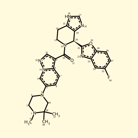 CN1CCN(c2ccc3c(C(=O)N4CCc5[nH]cnc5[C@H]4c4nc5cc(F)ccc5o4)cnn3c2)CC1(C)C